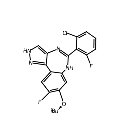 CC[C@H](C)Oc1cc2c(cc1F)-c1n[nH]cc1N=C(c1c(F)cccc1Cl)N2